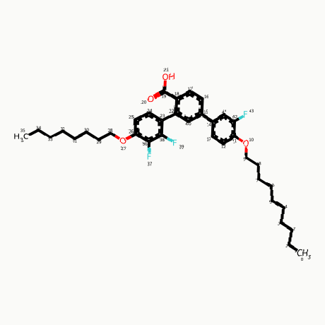 CCCCCCCCCCOc1ccc(-c2ccc(C(=O)O)c(-c3ccc(OCCCCCCCC)c(F)c3F)c2)cc1F